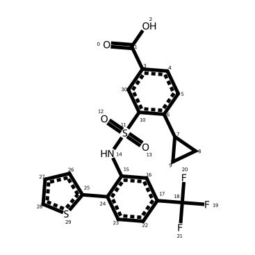 O=C(O)c1ccc(C2CC2)c(S(=O)(=O)Nc2cc(C(F)(F)F)ccc2-c2cccs2)c1